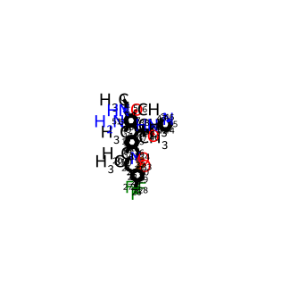 CCNc1c(OC)cc(C(c2ccc(C)c(CN3C[C@@H](C)Cc4cc(C(F)(F)F)ccc4S3(=O)=O)c2)C(C)(C)C(=O)Nc2cccnc2)c(C)c1N